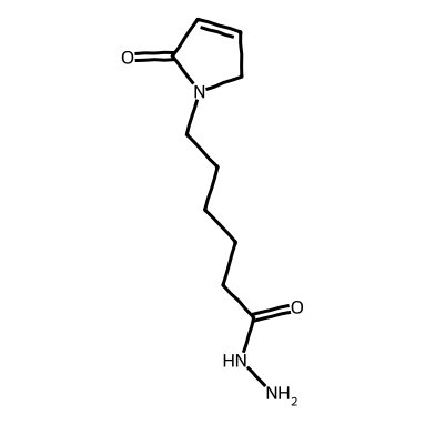 NNC(=O)CCCCCN1CC=CC1=O